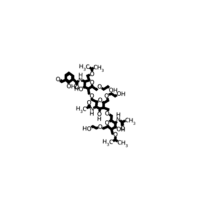 CC(=O)NC1C(COCC2C(COCCO)OC(COC(C)C)C(NC(=O)c3cccc(C=O)c3O)C2O)OC(COCCO)C(COCC2OC(COCCO)C(COC(C)C)C(O)C2NC(C)=O)C1O